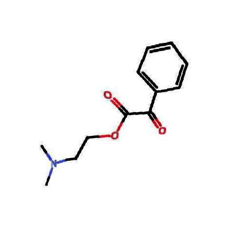 CN(C)CCOC(=O)C(=O)c1ccccc1